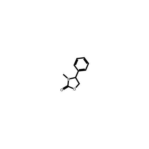 CN1C(=O)OCC1c1ccccc1